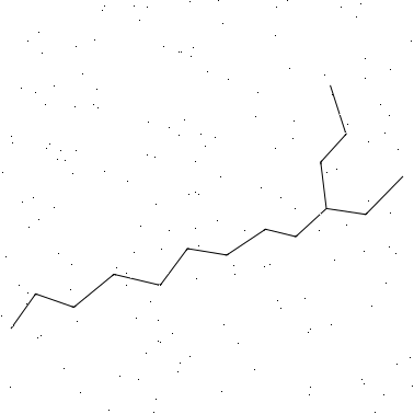 CCCCCCCCCC(CC)CCC